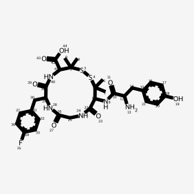 CC1(C)SSC(C)(C)C(NC(=O)C(N)Cc2ccc(O)cc2)C(=O)NCC(=O)NC(Cc2ccc(F)cc2)C(=O)NC1C(=O)O